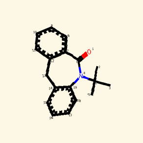 CC(C)(C)N1C(=O)c2ccccc2Cc2ccccc21